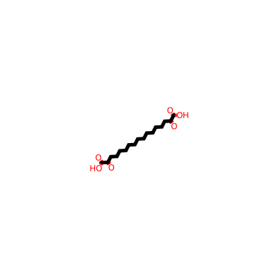 O=C(O)C(=O)CCCCCCCCCCCCCC(=O)C(=O)O